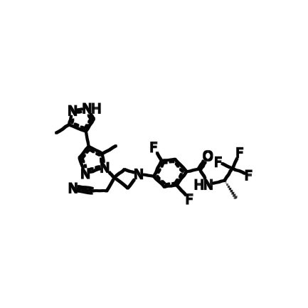 Cc1n[nH]cc1-c1cnn(C2(CC#N)CN(c3cc(F)c(C(=O)N[C@@H](C)C(F)(F)F)cc3F)C2)c1C